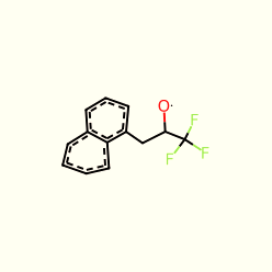 [O]C(Cc1cccc2ccccc12)C(F)(F)F